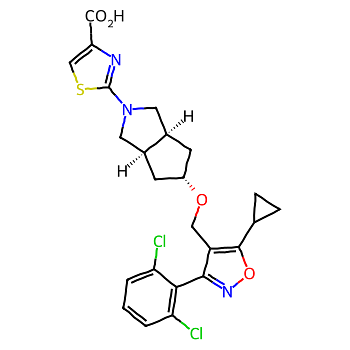 O=C(O)c1csc(N2C[C@H]3C[C@H](OCc4c(-c5c(Cl)cccc5Cl)noc4C4CC4)C[C@H]3C2)n1